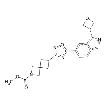 COC(=O)N1CC2(CC(c3noc(-c4ccc5cnn(C6COC6)c5c4)n3)C2)C1